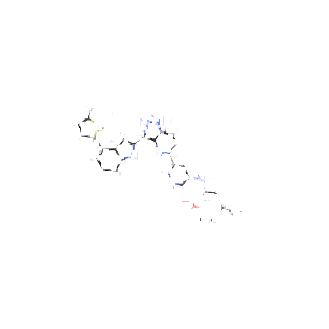 Cc1ccc(-c2cccc3[nH]c(-c4n[nH]c5ccc(-c6cncc(NC(O)CC(C)C)c6)nc45)cc23)s1